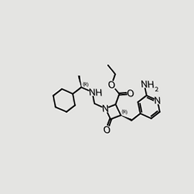 CCOC(=O)C1[C@@H](Cc2ccnc(N)c2)C(=O)N1CN[C@H](C)C1CCCCC1